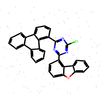 Clc1nc(-c2cccc3oc4ccccc4c23)nc(-c2cccc3c4ccccc4c4ccccc4c23)n1